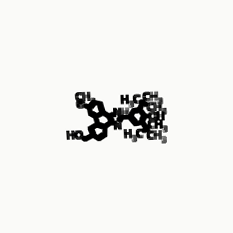 COc1ccc2c(c1)c1cc(CO)ccc1c1nc(-c3cc(C(C)(C)C)c(O)c(C(C)(C)C)c3)[nH]c21